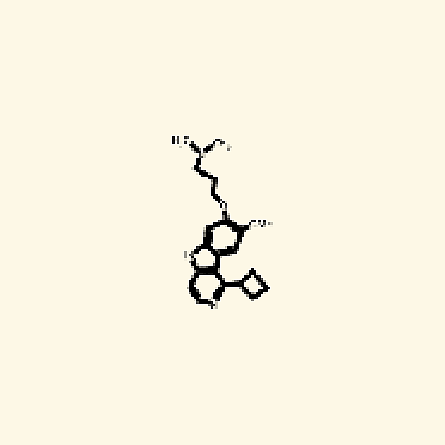 COc1cc2c(cc1OCCCN(C)C)[nH]c1ccnc(C3CCC3)c12